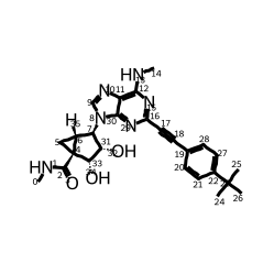 CNC(=O)[C@@]12C[C@@H]1[C@@H](n1cnc3c(NC)nc(C#Cc4ccc(C(C)(C)C)cc4)nc31)[C@H](O)[C@@H]2O